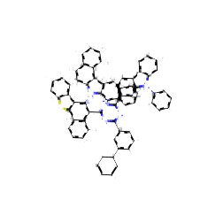 C1=CCC(c2cccc(-c3nc(-c4ccc5c6ccccc6n(-c6ccccc6)c5c4)nc(-c4c(-n5c6cc7ccccc7cc6c6c7ccccc7ccc65)c5c6ccccc6sc5c5ccccc45)n3)c2)C=C1